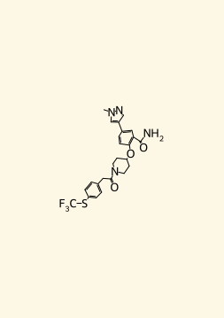 Cn1cc(-c2ccc(OC3CCN(C(=O)Cc4ccc(SC(F)(F)F)cc4)CC3)c(C(N)=O)c2)cn1